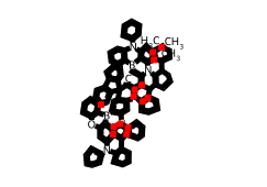 CC(C)(C)c1cc2c3c(c1)N(c1ccccc1)c1ccccc1B3c1cc3c(cc1N2C1=C(C2C=CC=CC2)C=CCC1C1=CCCC=C1)N(c1ccccc1)c1cc2c(cc1C31c3ccccc3-c3ccccc31)B1c3ccccc3Oc3cc(N(c4ccccc4)c4ccccc4-c4ccccc4)cc(c31)N2c1ccccc1